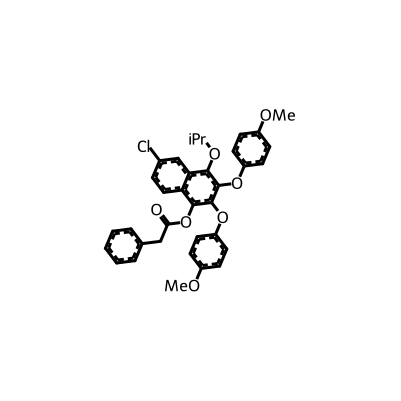 COc1ccc(Oc2c(Oc3ccc(OC)cc3)c(OC(C)C)c3cc(Cl)ccc3c2OC(=O)Cc2ccccc2)cc1